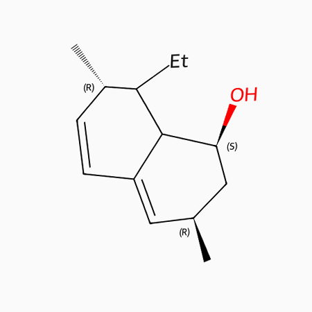 CCC1C2C(=C[C@H](C)C[C@@H]2O)C=C[C@@H]1C